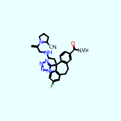 C=C(CNCCC1(c2nnn[nH]2)c2ccc(F)cc2CCc2cc(C(=O)NC)ccc21)N1CCCC1C#N